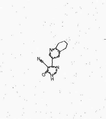 N#Cc1c(-c2cnc3c(c2)CCCC3)nc[nH]c1=O